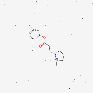 C[Si]1(C)CCCN1CCC(=O)Oc1ccccc1